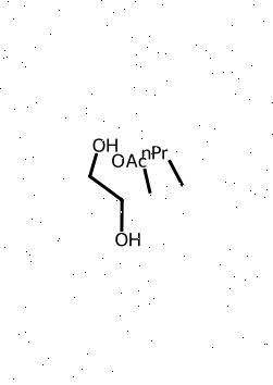 CCCC.COC(C)=O.OCCO